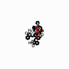 CC1C(=O)N(c2cc(Cc3n[nH]c(=O)c4ccccc34)ccc2F)C(=O)[N+]1(CCN1CCCC1)OC(=O)/C=C\C(=O)O[N+]1(CCN2CCCC2)C(=O)N(c2cc(Cc3n[nH]c(=O)c4ccccc34)ccc2F)C(=O)C1C